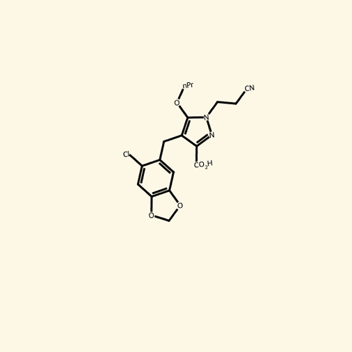 CCCOc1c(Cc2cc3c(cc2Cl)OCO3)c(C(=O)O)nn1CCC#N